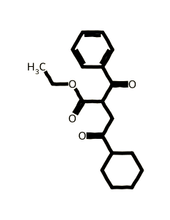 CCOC(=O)C(CC(=O)C1CCCCC1)C(=O)c1ccccc1